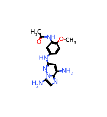 COc1ccc(Nc2cc(N)c3ncc(N)n3n2)cc1NC(C)=O